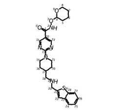 O=C(NOC1CCCCO1)c1cnc(N2CCC(CNCc3cc4ccccc4s3)CC2)nc1